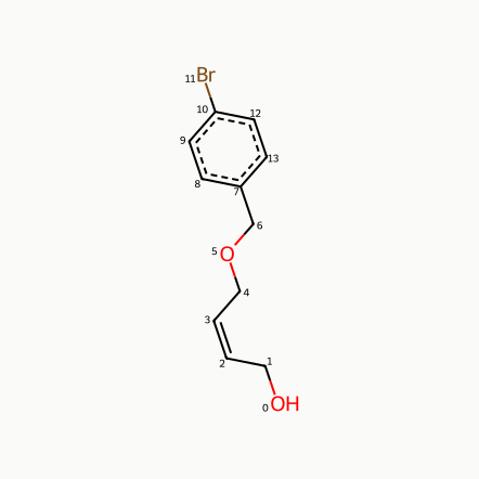 OC/C=C\COCc1ccc(Br)cc1